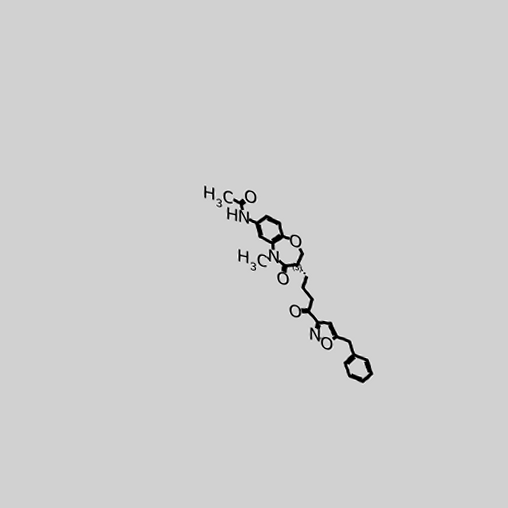 CC(=O)Nc1ccc2c(c1)N(C)C(=O)[C@@H](CCCC(=O)c1cc(Cc3ccccc3)on1)CO2